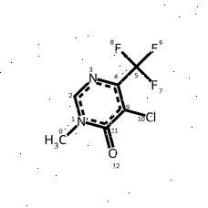 Cn1cnc(C(F)(F)F)c(Cl)c1=O